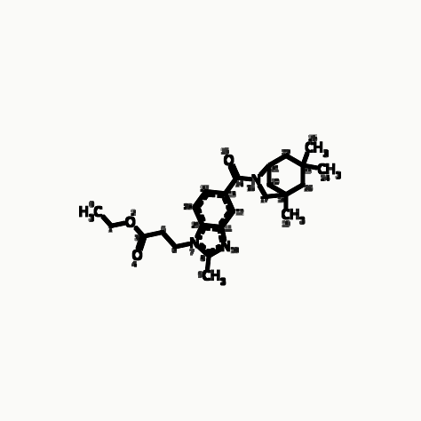 CCOC(=O)CCn1c(C)nc2cc(C(=O)N3CC4(C)CC3CC(C)(C)C4)ccc21